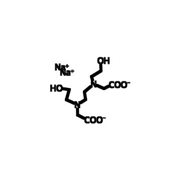 O=C([O-])CN(CCO)CCN(CCO)CC(=O)[O-].[Na+].[Na+]